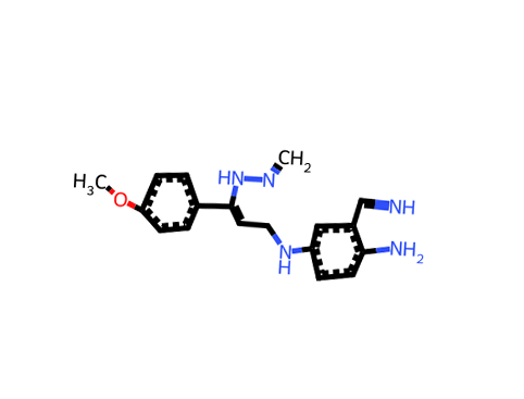 C=NN/C(=C\CNc1ccc(N)c(C=N)c1)c1ccc(OC)cc1